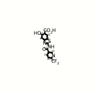 O=C(Nc1nc2cc(O)c(C(=O)O)cc2s1)c1ccc(C(F)(F)F)nc1